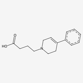 O=C(O)CCCN1CC=C(c2ccccc2)CC1